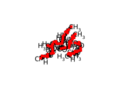 CCCCCc1ccc(CNC2CCN(S(=O)(=O)c3ccc(CNC(=O)c4cccc(OC)c4)s3)CC2)cc1.CCc1ccc(CNC2CCN(S(=O)(=O)c3ccc(CNC(=O)c4cccc(OC)c4)s3)CC2)cc1.COc1cccc(C(=O)NCc2ccc(S(=O)(=O)N3CCC(NCc4c(C)cc(C)cc4C)CC3)s2)c1.COc1cccc(C(=O)NCc2ccc(S(=O)(=O)N3CCC(NCc4ccc(Cl)cc4)CC3)s2)c1